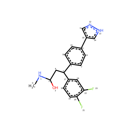 CNC(O)CC(c1ccc(-c2cn[nH]c2)cc1)c1ccc(F)c(F)c1